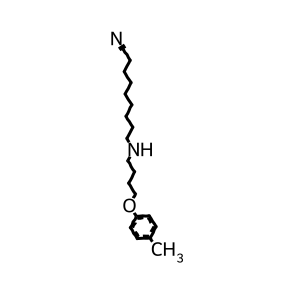 Cc1ccc(OCCCCNCCCCCCCCC#N)cc1